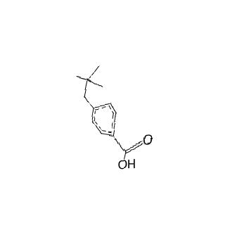 CC(C)(C)Cc1ccc(C(=O)O)cc1